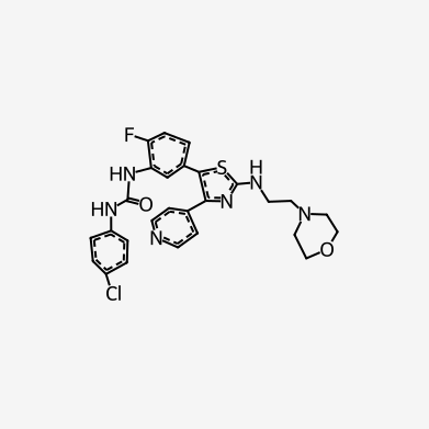 O=C(Nc1ccc(Cl)cc1)Nc1cc(-c2sc(NCCN3CCOCC3)nc2-c2ccncc2)ccc1F